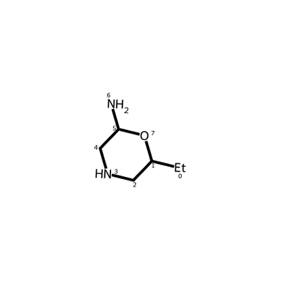 CCC1CNCC(N)O1